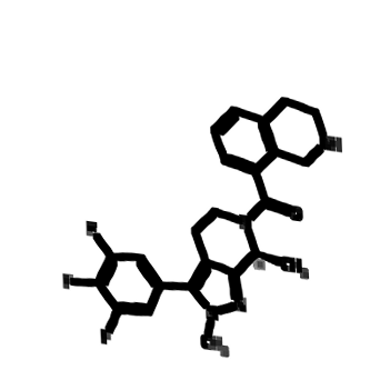 C[C@H]1c2nn(C)c(-c3cc(F)c(F)c(F)c3)c2CCN1C(=O)c1cccc2c1CNCC2